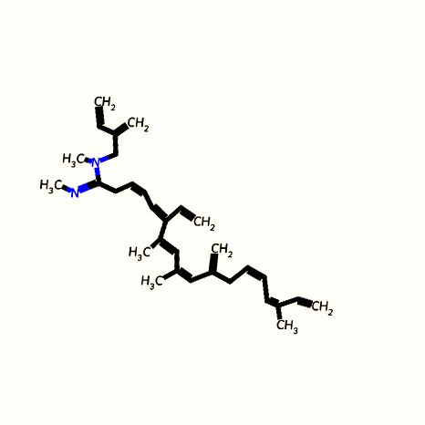 C=CC(=C)CN(C)/C(C\C=C/C=C(C=C)/C(C)=C/C(C)=C\C(=C)C/C=C\C=C(\C)C=C)=N\C